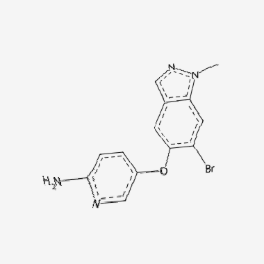 Cn1ncc2cc(Oc3ccc(N)nc3)c(Br)cc21